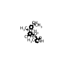 CCN(c1cc(Cl)cc(C(=O)NCc2c(C)cc[nH]c2=O)c1C)[C@H]1CC[C@H](N(C)C)CC1